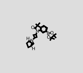 CC1(C)C(=O)N(C2CC(N3C[C@H]4CC[C@@H]3C4)C2)c2cc(B3OC(C)(C)C(C)(C)O3)ccc21